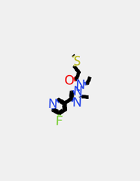 CCN(C(=O)CCSC)n1cc(-c2cncc(F)c2)nc1C